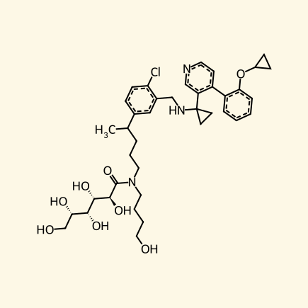 CC(CCCN(CCCCO)C(=O)[C@@H](O)[C@@H](O)[C@H](O)[C@@H](O)CO)c1ccc(Cl)c(CNC2(c3cnccc3-c3ccccc3OC3CC3)CC2)c1